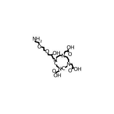 NCCOCCOCC(O)CN1CCN(CC(=O)O)CCN(CC(=O)O)CCN(CC(=O)O)CC1